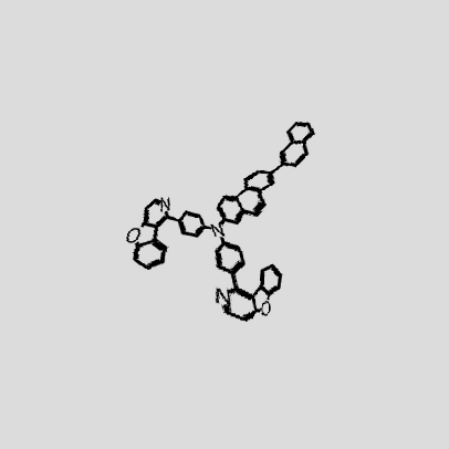 c1ccc2cc(-c3ccc4c(ccc5cc(N(c6ccc(-c7nccc8oc9ccccc9c78)cc6)c6ccc(-c7nccc8oc9ccccc9c78)cc6)ccc54)c3)ccc2c1